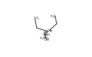 CCCCCCC/C=C\CCCCCCCC(=O)OC[C@H](COP(=O)(O)OC[C@H](N)C(=O)O)OC(=O)CCCCCCC/C=C\CCCCCCCCC